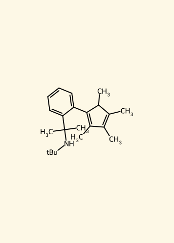 CC1=C(C)C(C)C(c2ccccc2C(C)(C)NC(C)(C)C)=C1C